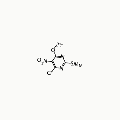 CSc1nc(Cl)c([N+](=O)[O-])c(OC(C)C)n1